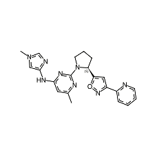 Cc1cc(Nc2cn(C)cn2)nc(N2CCC[C@H]2c2cc(-c3ccccn3)no2)n1